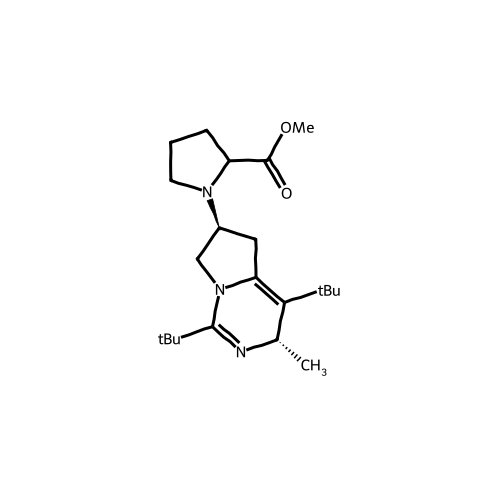 COC(=O)C1CCCN1[C@H]1CC2=C(C(C)(C)C)[C@H](C)N=C(C(C)(C)C)N2C1